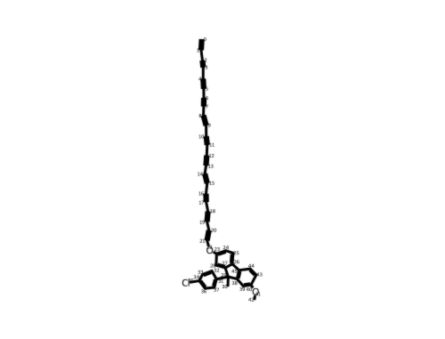 C#CC#CC#CC#CC#CC#CC#CC#CC#CC#CC#COc1ccc2c(c1)C(C)(c1ccc(Cl)cc1)c1cc(OC)ccc1-2